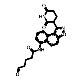 O=CCCCC(=O)Nc1cccc2c1ccc1onc(C3CCC(=O)NC3=O)c12